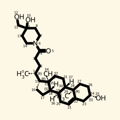 C[C@H](CCC(=O)N1CCC(O)(CO)CC1)[C@H]1CC[C@H]2[C@@H]3CC=C4C[C@@H](O)CC[C@]4(C)[C@H]3CC[C@]12C